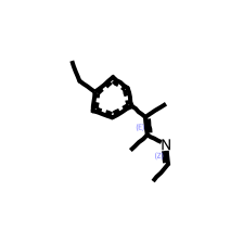 C/C=N\C(C)=C(/C)c1ccc(CC)cc1